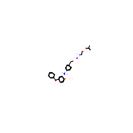 C=C(C)C(=O)OCCNC(=O)OCCc1ccc(N=Nc2cc(C(=O)c3ccccc3)c(O)cc2O)cc1